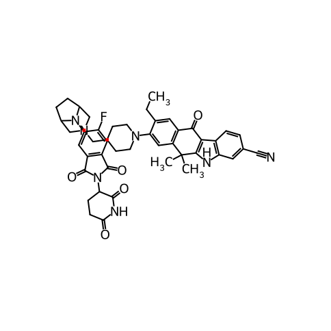 CCc1cc2c(cc1N1CCC(CN3CC4CCC(C3)N4c3cc4c(cc3F)C(=O)N(C3CCC(=O)NC3=O)C4=O)CC1)C(C)(C)c1[nH]c3cc(C#N)ccc3c1C2=O